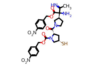 CC(=N)C(N)(C(=O)OCc1ccc([N+](=O)[O-])cc1)[C@H]1CCN(C(=O)[C@@H]2C[C@H](S)CN2C(=O)OCc2ccc([N+](=O)[O-])cc2)C1